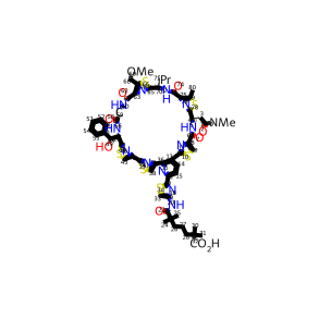 CNC(=O)C[C@@H]1NC(=O)c2csc(n2)-c2ccc(-c3nc(NC(=O)C(C)(C)CCCC(C)(C)C(=O)O)cs3)nc2-c2csc(n2)-c2csc(n2)[C@H]([C@@H](O)c2ccccc2)NC(=O)CNC(=O)c2nc(sc2COC)[C@H](C(C)C)NC(=O)c2nc1sc2C